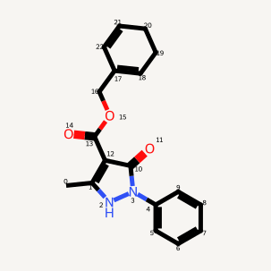 Cc1[nH]n(-c2ccccc2)c(=O)c1C(=O)OCC1=CCCC=C1